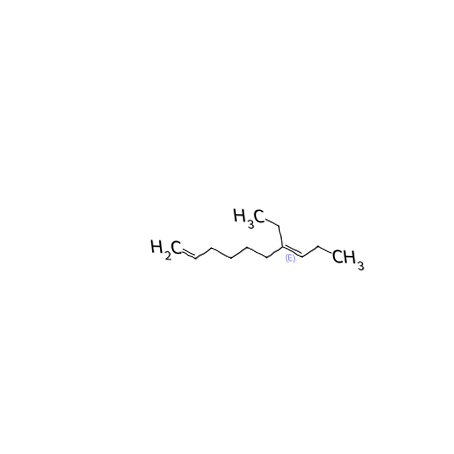 C=CCCCC/C(=C/CC)CC